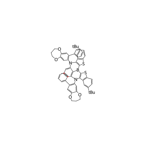 Cc1cc2c3c(c1)N(c1cc4c(cc1-c1ccccc1)OCCCO4)c1c(sc4ccc(C(C)(C)C)cc14)B3c1sc3ccc(C(C)(C)C)cc3c1N2c1cc2c(cc1-c1ccccc1)OCCCO2